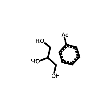 CC(=O)c1ccccc1.OCC(O)CO